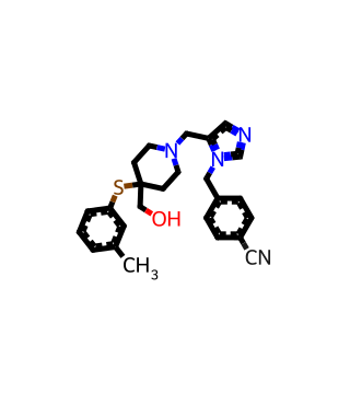 Cc1cccc(SC2(CO)CCN(Cc3cncn3Cc3ccc(C#N)cc3)CC2)c1